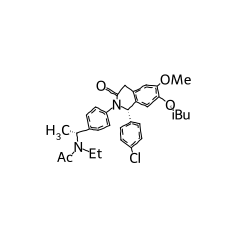 CC[C@@H](C)Oc1cc2c(cc1OC)CC(=O)N(c1ccc([C@@H](C)N(CC)C(C)=O)cc1)[C@H]2c1ccc(Cl)cc1